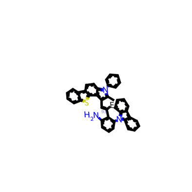 CC/C(=C\c1c(C)n(-c2ccccc2)c2ccc3c4ccccc4sc3c12)c1c(N)cccc1-n1c2ccccc2c2ccccc21